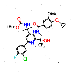 COc1cc(C(=O)NCC(O)(c2cc(C(C)(C)NC(=O)OC(C)(C)C)cc(-c3ccc(F)c(Cl)c3)n2)C(F)(F)F)ccc1OC1CC1